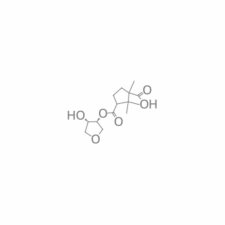 CC1(C(=O)O)CCC(C(=O)O[C@H]2COC[C@H]2O)C1(C)C